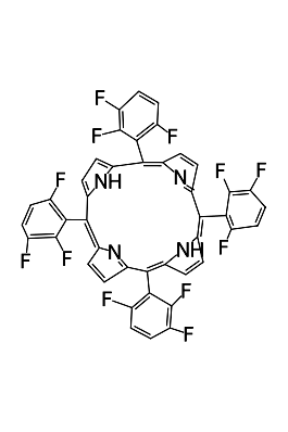 Fc1ccc(F)c(-c2c3nc(c(-c4c(F)ccc(F)c4F)c4ccc([nH]4)c(-c4c(F)ccc(F)c4F)c4nc(c(-c5c(F)ccc(F)c5F)c5ccc2[nH]5)C=C4)C=C3)c1F